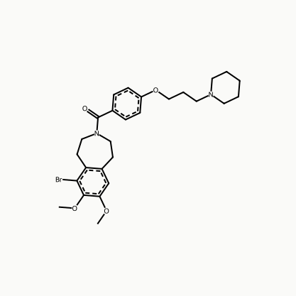 COc1cc2c(c(Br)c1OC)CCN(C(=O)c1ccc(OCCCN3CCCCC3)cc1)CC2